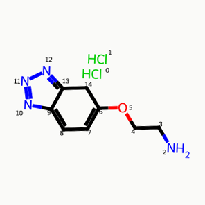 Cl.Cl.NCCOC1=CC=C2N=NN=C2C1